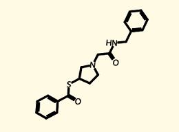 O=C(CN1CCC(SC(=O)c2ccccc2)C1)NCc1ccccc1